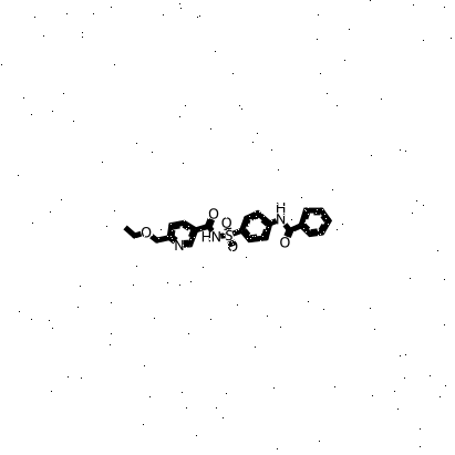 CCOCc1ccc(C(=O)NS(=O)(=O)c2ccc(NC(=O)c3ccccc3)cc2)cn1